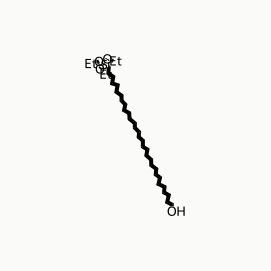 CCO[Si](CCCCCCCCCCCCCCCCCCCCCCCCCCCCCCCO)(OCC)OCC